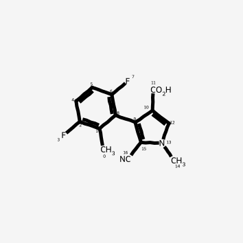 Cc1c(F)ccc(F)c1-c1c(C(=O)O)cn(C)c1C#N